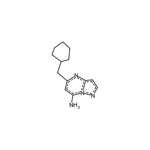 Nc1cc(CC2CCCCC2)nc2ccnn12